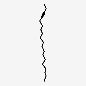 CCC#CCCCCCCCCCCCCCCC